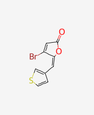 O=C1C=C(Br)C(=Cc2ccsc2)O1